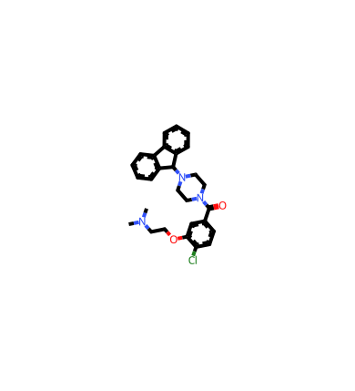 CN(C)CCOc1cc(C(=O)N2CCN(C3c4ccccc4-c4ccccc43)CC2)ccc1Cl